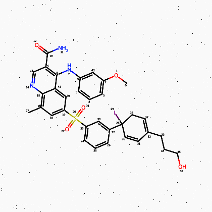 COc1cccc(Nc2c(C(N)=O)cnc3c(C)cc(S(=O)(=O)c4cccc(C5(I)C=CC(CCCO)=CC5)c4)cc23)c1